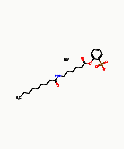 CCCCCCCCC(=O)NCCCCCC(=O)Oc1ccccc1S(=O)(=O)[O-].[Na+]